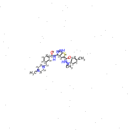 Cc1ccc(N(C)NC(=O)c2cc3c(NC(=O)c4cccc(CN5CCN(C)CC5)c4)n[nH]c3s2)cc1